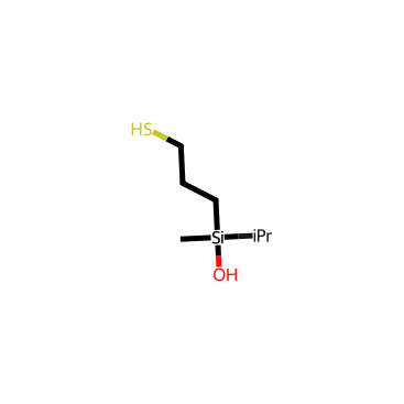 CC(C)[Si](C)(O)CCCS